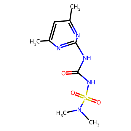 Cc1cc(C)nc(NC(=O)NS(=O)(=O)N(C)C)n1